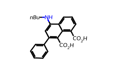 CCCCNc1cc(-c2ccccc2)c(C(=O)O)c2c(C(=O)O)cccc12